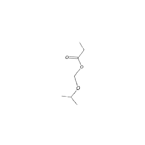 CCC(=O)OCOC(C)C